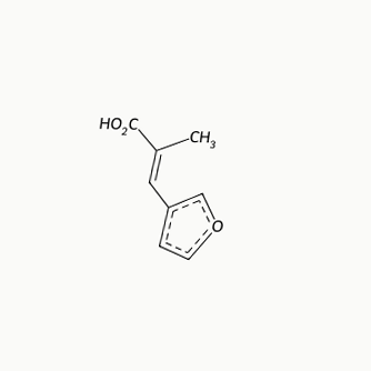 CC(=Cc1ccoc1)C(=O)O